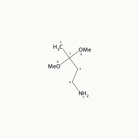 COC(C)(CCN)OC